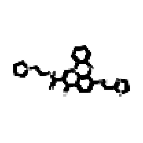 O=C(NCCN1CCCC1)c1cn2c3c(c(NCc4nccs4)ccc3c1=O)Oc1ccccc1-2